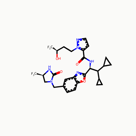 O=C(N[C@H](c1nc2cc(CN3C[C@@H](C(F)(F)F)NC3=O)ccc2o1)C(C1CC1)C1CC1)c1ccnn1CC[C@@H](O)C(F)(F)F